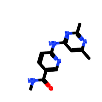 CNC(=O)c1ccc(Nc2cc(C)nc(C)n2)nc1